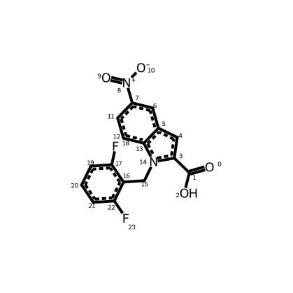 O=C(O)c1cc2cc([N+](=O)[O-])ccc2n1Cc1c(F)cccc1F